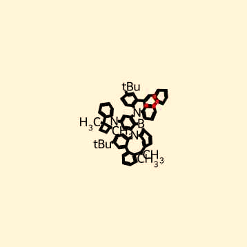 CC(C)(C)c1ccc(N2c3cc(-c4ccccc4)ccc3B3c4ccc5cc4N(c4ccc(C(C)(C)C)cc4-c4ccccc4C5(C)C)c4cc(N5c6ccccc6C6(C)CCC56C)cc2c43)c(-c2ccccc2)c1